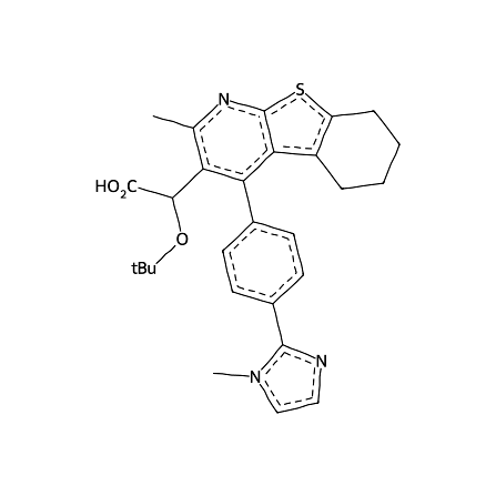 Cc1nc2sc3c(c2c(-c2ccc(-c4nccn4C)cc2)c1C(OC(C)(C)C)C(=O)O)CCCC3